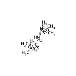 CCOC(CC)(OCC)S[PH](=S)SCCC(=O)NCS[PH](=S)SC(CC)(OCC)OCC